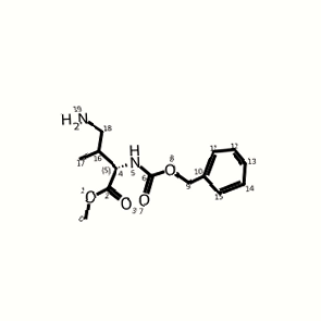 COC(=O)[C@@H](NC(=O)OCc1ccccc1)C(C)CN